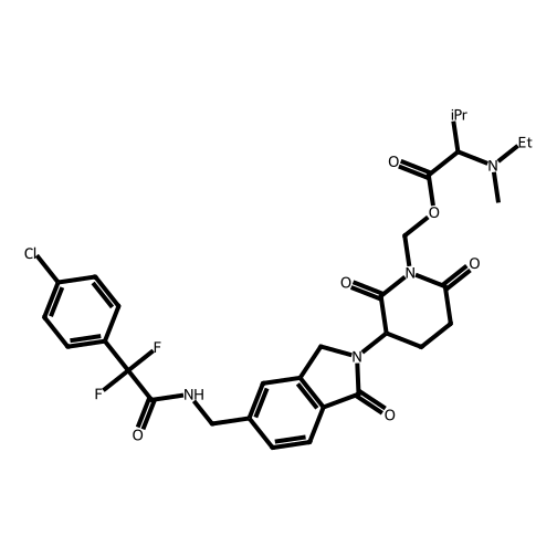 CCN(C)C(C(=O)OCN1C(=O)CCC(N2Cc3cc(CNC(=O)C(F)(F)c4ccc(Cl)cc4)ccc3C2=O)C1=O)C(C)C